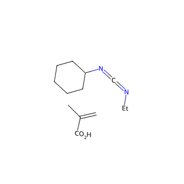 C=C(C)C(=O)O.CCN=C=NC1CCCCC1